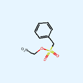 O=[N+]([O-])COS(=O)(=O)Cc1ccccc1